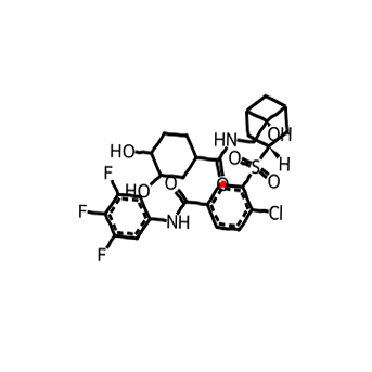 O=C(Nc1cc(F)c(F)c(F)c1)c1ccc(Cl)c(S(=O)(=O)[C@H]2CC3CC(C2)[C@]3(O)CNC(=O)C2CCC(O)C(O)C2)c1